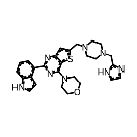 c1cc(-c2nc(N3CCOCC3)c3sc(CN4CCN(Cc5ncc[nH]5)CC4)cc3n2)c2cc[nH]c2c1